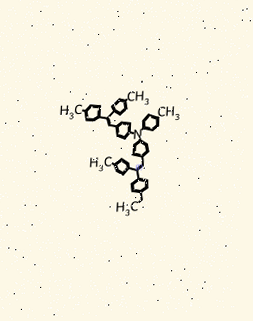 CCc1ccc(/C(=C/c2ccc(N(c3ccc(C)cc3)c3ccc(C=C(c4ccc(C)cc4)c4ccc(C)cc4)cc3)cc2)c2ccc(C)cc2)cc1